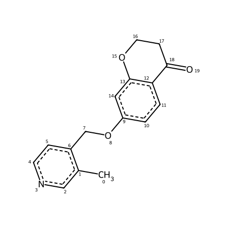 Cc1cnccc1COc1ccc2c(c1)OCCC2=O